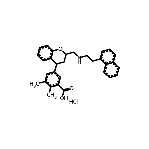 Cc1cc(C2CC(CNCCc3cccc4ccccc34)Oc3ccccc32)cc(C(=O)O)c1C.Cl